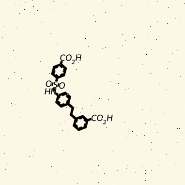 O=C(O)c1ccc(S(=O)(=O)Nc2ccc(CCc3cccc(C(=O)O)c3)cc2)cc1